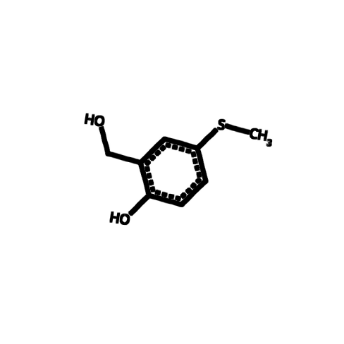 CSc1ccc(O)c(CO)c1